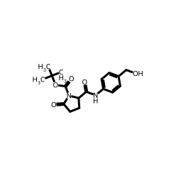 CC(C)(C)OC(=O)N1C(=O)CCC1C(=O)Nc1ccc(CO)cc1